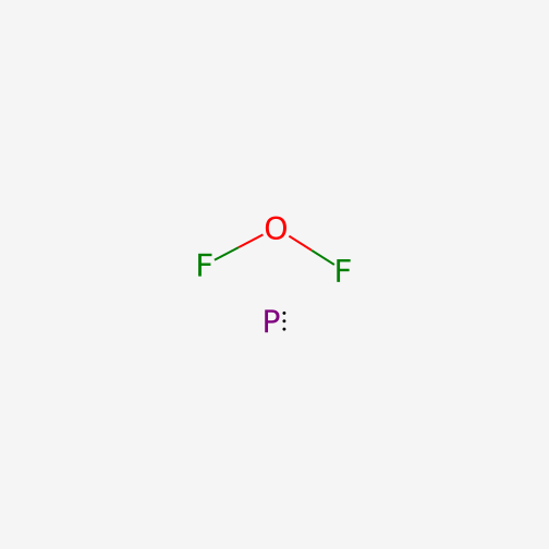 FOF.[P]